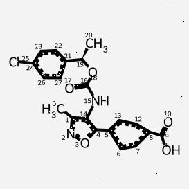 Cc1noc(-c2ccc(C(=O)O)cc2)c1NC(=O)O[C@H](C)c1ccc(Cl)cc1